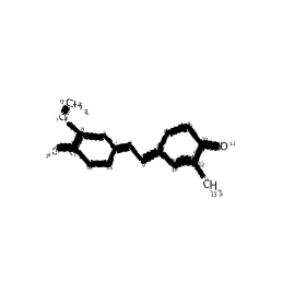 COC1=C/C(=C/C=C2\C=CC(=O)C(C)=C2)C=CC1=O